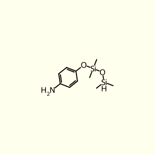 C[SiH](C)O[Si](C)(C)Oc1ccc(N)cc1